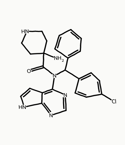 NC1(C(=O)N(c2ncnc3[nH]ccc23)C(c2ccccc2)c2ccc(Cl)cc2)CCNCC1